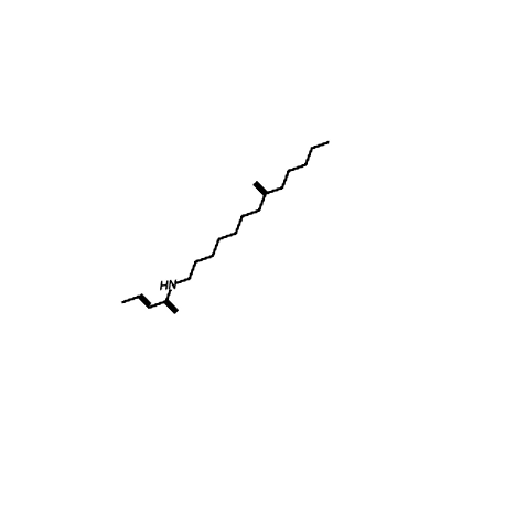 C=C(CCCCC)CCCCCCCNC(=C)/C=C/C